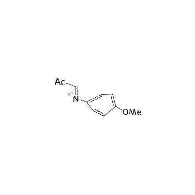 COc1ccc(/N=C/C(C)=O)cc1